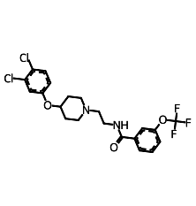 O=C(NCCN1CCC(Oc2ccc(Cl)c(Cl)c2)CC1)c1cccc(OC(F)(F)F)c1